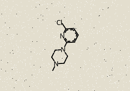 CN1CCN(c2cc[c]c(Cl)n2)CC1